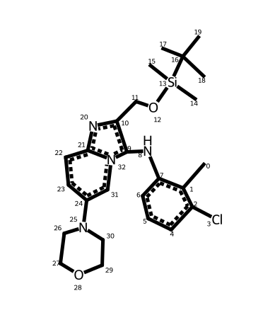 Cc1c(Cl)cccc1Nc1c(CO[Si](C)(C)C(C)(C)C)nc2ccc(N3CCOCC3)cn12